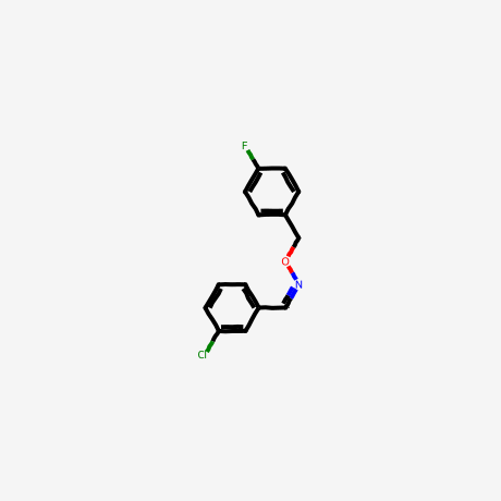 Fc1ccc(CO/N=[C]\c2cccc(Cl)c2)cc1